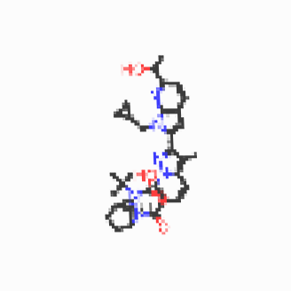 Cc1c(-c2cc3ccc(C(C)O)nc3n2CC2CC2)nn2cc(C(=O)N3CC4CCC3[C@@H]4N(C(=O)O)C(C)(C)C)ccc12